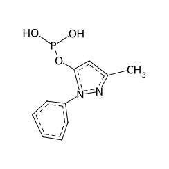 Cc1cc(OP(O)O)n(-c2ccccc2)n1